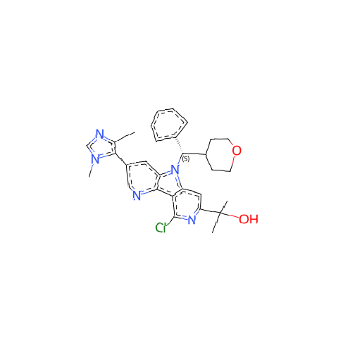 Cc1ncn(C)c1-c1cnc2c3c(Cl)nc(C(C)(C)O)cc3n([C@H](c3ccccc3)C3CCOCC3)c2c1